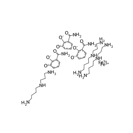 NC(=O)c1cccc([O-])c1[O-].NC(=O)c1cccc([O-])c1[O-].NC(=O)c1cccc([O-])c1[O-].NCCCCNCCCN.NCCCCNCCCN.NCCCCNCCCN.[Fe+3].[Fe+3]